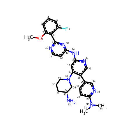 COc1cccc(F)c1-c1nccc(Nc2cc(N3CCC[C@H](N)C3)c(-c3ccc(N(C)C)nc3)cn2)n1